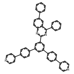 c1ccc(-c2ccc3nc(-c4cc(-c5ccc(-c6ccncc6)cc5)cc(-c5ccc(-c6ccncc6)cc5)c4)nc(-c4ccccc4)c3c2)cc1